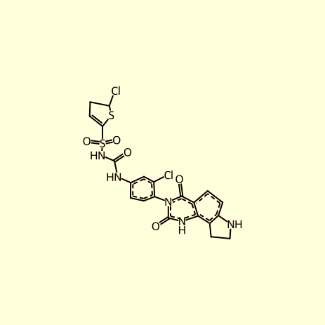 O=C(Nc1ccc(-n2c(=O)[nH]c3c4c(ccc3c2=O)NCC4)c(Cl)c1)NS(=O)(=O)C1=CCC(Cl)S1